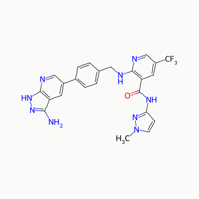 Cn1ccc(NC(=O)c2cc(C(F)(F)F)cnc2NCc2ccc(-c3cnc4[nH]nc(N)c4c3)cc2)n1